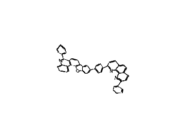 c1ccc(-c2ccc3ccc4ccc(-c5ccc(-c6ccc7oc8c(ccc9c(-c%10ccccc%10)nc%10ccccc%10c98)c7c6)cc5)nc4c3n2)cc1